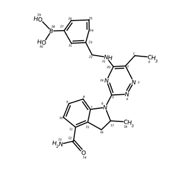 CCc1nnc(N2c3cccc(C(N)=O)c3CC2C)nc1NCc1cccc(B(O)O)c1